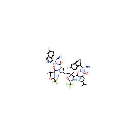 CC(C)C1C[C@@H](C(=O)N[C@@H](C#N)c2cncc3cc(F)ccc23)N(C(=O)[C@@H](NC(=O)C(F)(F)F)C(C)(C)C[C@H](C)C2C[C@@H](C(=O)N[C@H](C#N)c3cncc4cc(F)ccc34)N(C(=O)[C@@H](NC(=O)C(F)(F)F)C(C)(C)C)C2)C1